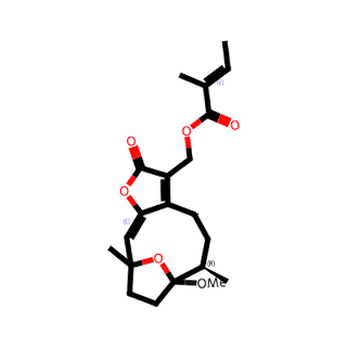 C/C=C(\C)C(=O)OCC1=C2[CH]C[C@@H](C)C3(OC)CCC(C)(/C=C\2OC1=O)O3